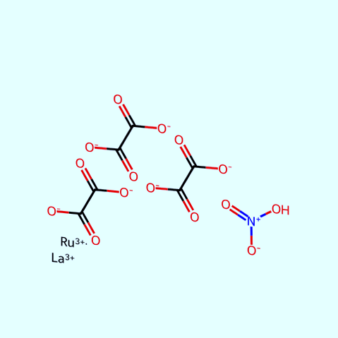 O=C([O-])C(=O)[O-].O=C([O-])C(=O)[O-].O=C([O-])C(=O)[O-].O=[N+]([O-])O.[La+3].[Ru+3]